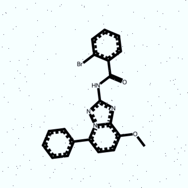 COc1ccc(-c2ccccc2)n2nc(NC(=O)c3ccccc3Br)nc12